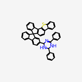 c1ccc(C2=NC(c3ccc4c(c3)C3(c5ccccc5-4)c4ccccc4-c4c3ccc3c4sc4ccccc43)NC(c3ccccc3)N2)cc1